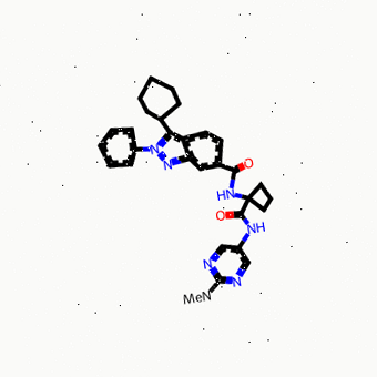 CNc1ncc(NC(=O)C2(NC(=O)c3ccc4c(C5CCCCC5)n(-c5ccccc5)nc4c3)CCC2)cn1